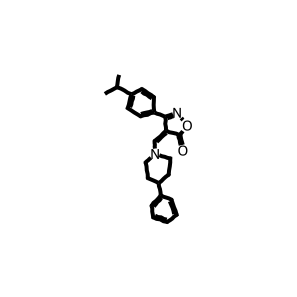 CC(C)c1ccc(C2=NOC(=O)C2=CN2CCC(c3ccccc3)CC2)cc1